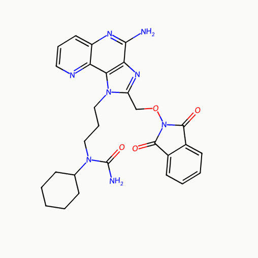 NC(=O)N(CCCn1c(CON2C(=O)c3ccccc3C2=O)nc2c(N)nc3cccnc3c21)C1CCCCC1